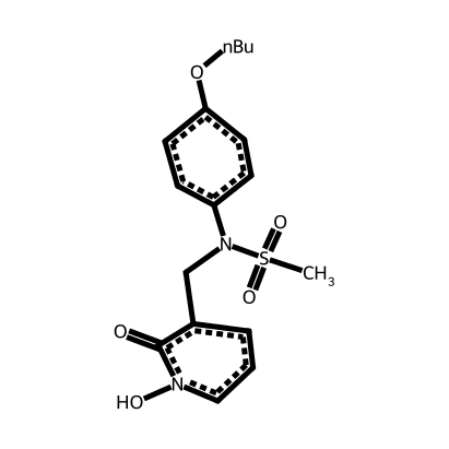 CCCCOc1ccc(N(Cc2cccn(O)c2=O)S(C)(=O)=O)cc1